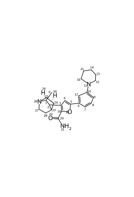 C[C@H]1[C@@H](c2cc(-c3cccc(N4CCCCC4)c3)oc2C(N)=O)C2CCN1CC2